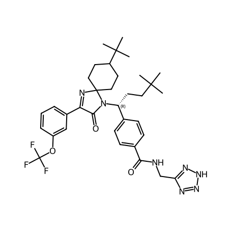 CC(C)(C)CC[C@H](c1ccc(C(=O)NCc2nn[nH]n2)cc1)N1C(=O)C(c2cccc(OC(F)(F)F)c2)=NC12CCC(C(C)(C)C)CC2